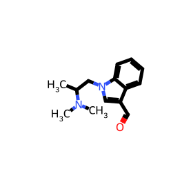 CC(Cn1cc(C=O)c2ccccc21)N(C)C